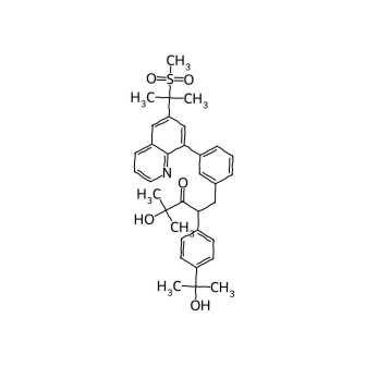 CC(C)(O)C(=O)C(Cc1cccc(-c2cc(C(C)(C)S(C)(=O)=O)cc3cccnc23)c1)c1ccc(C(C)(C)O)cc1